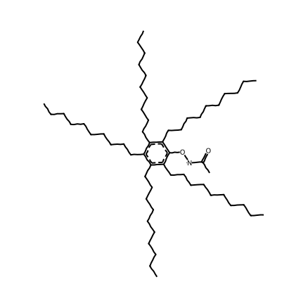 CCCCCCCCCCc1c(CCCCCCCCCC)c(CCCCCCCCCC)c(O[N]C(C)=O)c(CCCCCCCCCC)c1CCCCCCCCCC